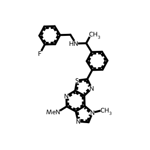 CNc1nc2sc(-c3cccc(C(C)NCc4cccc(F)c4)c3)nc2c2c1ncn2C